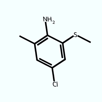 CSc1cc(Cl)cc(C)c1N